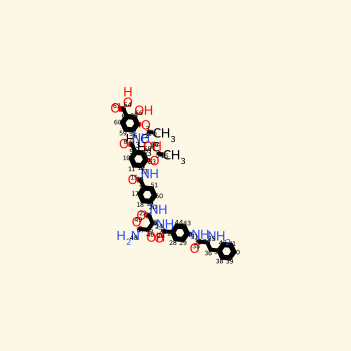 CC(C)Oc1c(NC(=O)c2ccc(NC(=O)c3ccc(NC(=O)C(NC(=O)c4ccc(NC(=O)C(N)Cc5ccccc5)cc4)C(O)C(N)=O)cc3)c(OC(C)C)c2O)ccc(C(=O)O)c1O